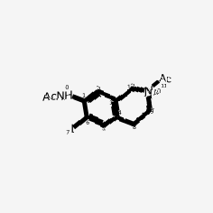 CC(=O)Nc1cc2c(cc1I)CCN(C(C)=O)C2